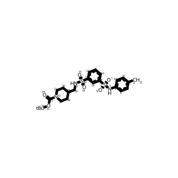 Cc1ccc(NS(=O)(=O)c2cccc(S(=O)(=O)NCC3CCN(C(=O)OC(C)(C)C)CC3)c2)cc1